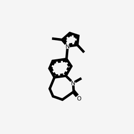 Cc1ccc(C)n1-c1ccc2c(c1)N(C)C(=O)CCC2